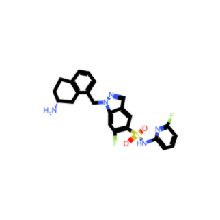 N[C@@H]1CCc2cccc(Cn3ncc4cc(S(=O)(=O)Nc5cccc(F)n5)c(F)cc43)c2C1